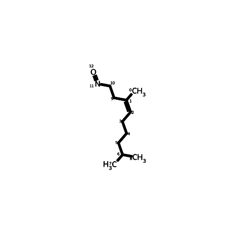 C/C(=C/CCCC(C)C)CCN=O